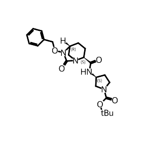 CC(C)(C)OC(=O)N1CC[C@H](NC(=O)[C@@H]2CC[C@@H]3CN2C(=O)N3OCc2ccccc2)C1